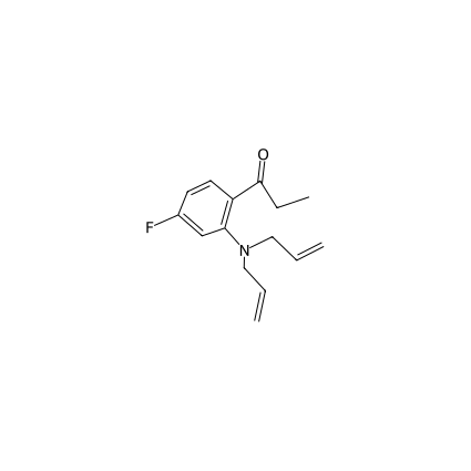 C=CCN(CC=C)c1cc(F)ccc1C(=O)CC